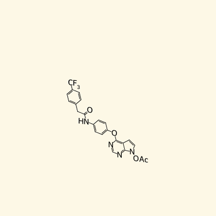 CC(=O)On1ccc2c(Oc3ccc(NC(=O)Cc4ccc(C(F)(F)F)cc4)cc3)ncnc21